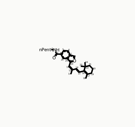 CCCCCNC(=O)c1ccc2coc(C=C(C)C=CC3=C(C)CCCC3(C)C)c2c1